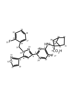 O=C(O)[C@@]1(Nc2nc(-c3cc(-c4ccon4)n(Cc4ccccc4F)n3)ncc2F)CC2CCC1C2